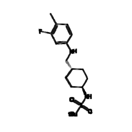 Cc1ccc(NC[C@H]2CC[C@H](NS(=O)(=O)C(C)(C)C)CC2)cc1F